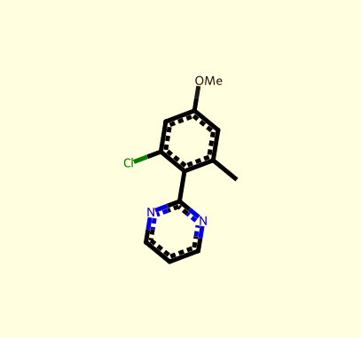 COc1cc(C)c(-c2ncccn2)c(Cl)c1